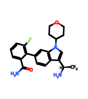 NC(=O)c1cccc(F)c1-c1ccc2c([C@H](N)C(F)(F)F)cn(C3CCOCC3)c2c1